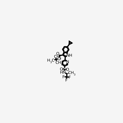 C[C@H](NS(=O)(=O)c1ccc(-c2[nH]c3cc(C4CC4)ccc3c2C(=O)OC(C)(C)C)nc1)C(F)(F)F